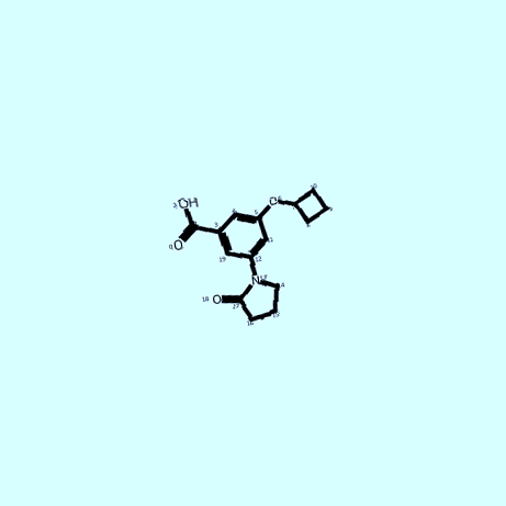 O=C(O)c1cc(OC2CCC2)cc(N2CCCC2=O)c1